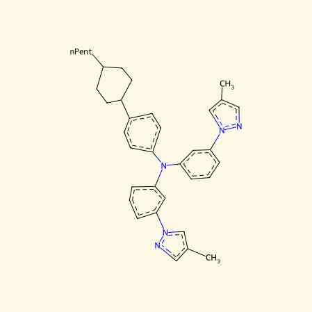 CCCCCC1CCC(c2ccc(N(c3cccc(-n4cc(C)cn4)c3)c3cccc(-n4cc(C)cn4)c3)cc2)CC1